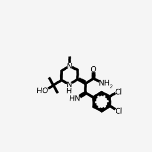 CN1C/C(=C(/C(=N)c2ccc(Cl)c(Cl)c2)C(N)=O)NC(C(C)(C)O)C1